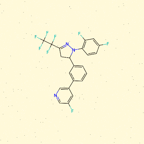 Fc1cncc(-c2cccc(C3CC(C(F)(F)C(F)(F)F)=NN3c3ccc(F)cc3F)c2)c1